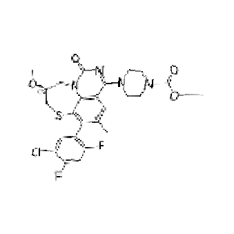 CO[C@@H]1CSc2c(-c3cc(Cl)c(F)cc3F)c(C)cc3c(N4CCN(C(=O)OC(C)(C)C)CC4)nc(=O)n(c23)C1